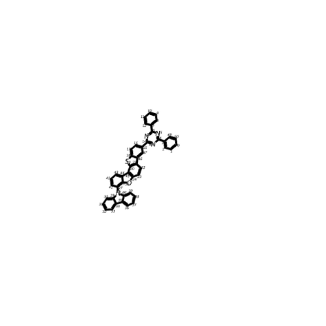 c1ccc(-c2nc(-c3ccccc3)nc(-c3ccc4sc5c(ccc6oc7c(-n8c9ccccc9c9ccccc98)cccc7c65)c4c3)n2)cc1